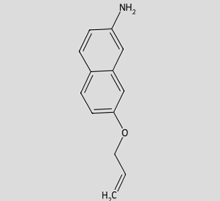 C=CCOc1ccc2ccc(N)cc2c1